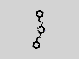 O=C(/C=C\C(=O)OCc1ccccc1)OCc1ccccc1